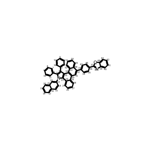 c1ccc(-c2c(-c3ccccc3)n(-c3ccc4ccccc4c3)c3c4ccccc4c4cc(-c5ccc(-c6nc7ccccc7o6)cc5)c5ccccc5c4c23)cc1